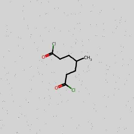 CC(CCC(=O)Cl)CCC(=O)Cl